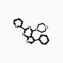 c1ccc(-c2csc3nc(-c4ccccn4)nc(N4CCOCC4)c23)cc1